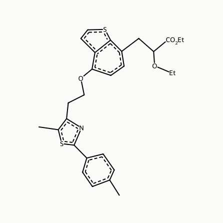 CCOC(=O)C(Cc1ccc(OCCc2nc(-c3ccc(C)cc3)sc2C)c2ccsc12)OCC